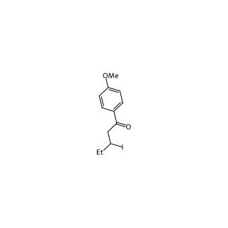 CCC(I)CC(=O)c1ccc(OC)cc1